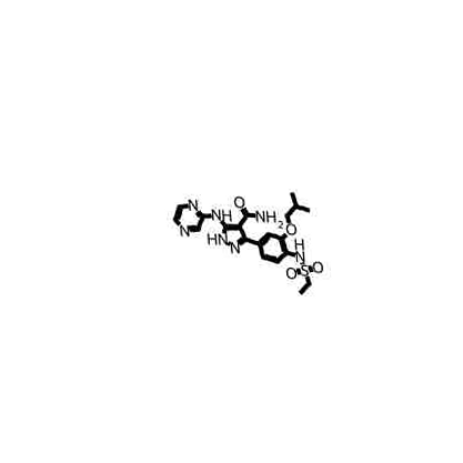 CCS(=O)(=O)Nc1ccc(-c2n[nH]c(Nc3cnccn3)c2C(N)=O)cc1OCC(C)C